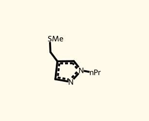 CCCn1cc(CSC)cn1